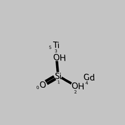 O=[Si](O)O.[Gd].[Ti]